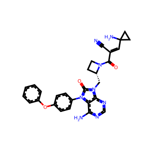 N#CC(=CC1(N)CC1)C(=O)N1CC[C@H]1Cn1c(=O)n(-c2ccc(Oc3ccccc3)cc2)c2c(N)ncnc21